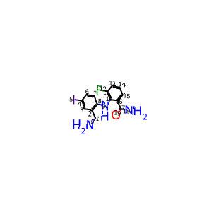 NCc1cc(I)ccc1Nc1c(F)cccc1C(N)=O